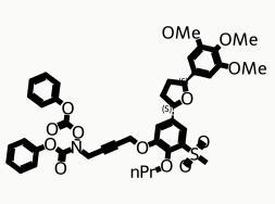 CCCOc1c(OCC#CCN(OC(=O)Oc2ccccc2)C(=O)Oc2ccccc2)cc([C@@H]2CC[C@@H](c3cc(OC)c(OC)c(OC)c3)O2)cc1S(C)(=O)=O